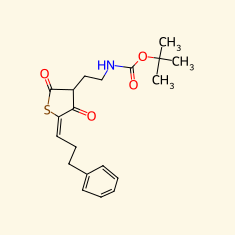 CC(C)(C)OC(=O)NCCC1C(=O)SC(=CCCc2ccccc2)C1=O